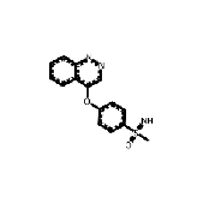 CS(=N)(=O)c1ccc(Oc2cnnc3ccccc23)cc1